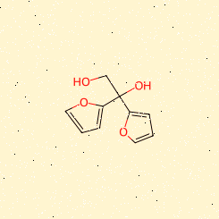 OCC(O)(c1ccco1)c1ccco1